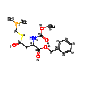 CCP(CC)CSC(=O)CC(NC(=O)OC(C)(C)C)C(=O)OCc1ccccc1